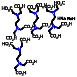 O=C(O)CN(CCN(CC(=O)O)CC(=O)O)CC(=O)O.O=C(O)CN(CCN(CC(=O)O)CC(=O)O)CC(=O)O.O=C(O)CN(CCN(CC(=O)O)CC(=O)O)CC(=O)O.O=C(O)CN(CCN(CC(=O)O)CC(=O)O)CC(=O)O.[NaH].[NaH]